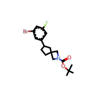 CC(C)(C)OC(=O)N1CC2(CCC(c3cc(F)cc(Br)c3)C2)C1